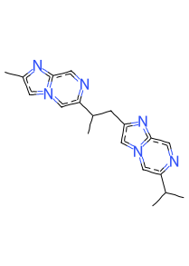 Cc1cn2cc(C(C)Cc3cn4cc(C(C)C)ncc4n3)ncc2n1